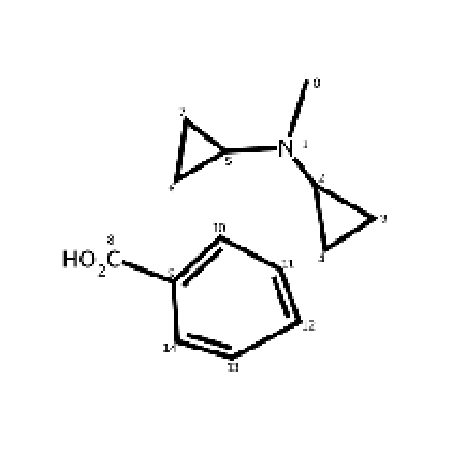 CN(C1CC1)C1CC1.O=C(O)c1ccccc1